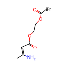 CC(N)=CC(=O)OCCOC(=O)C(C)C